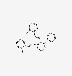 Cc1ccccc1C=Cc1cccc(-c2ccccc2)c1C=Cc1ccccc1C